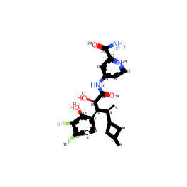 CC1CC([C@H](C)[C@@H](c2ccc(F)c(F)c2O)[C@@H](O)C(=O)Nc2ccnc(C(N)=O)c2)C1